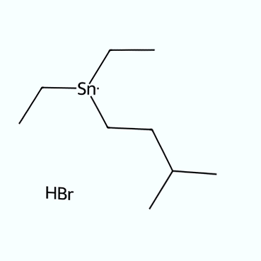 Br.C[CH2][Sn]([CH2]C)[CH2]CC(C)C